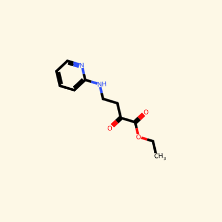 CCOC(=O)C(=O)CCNc1ccccn1